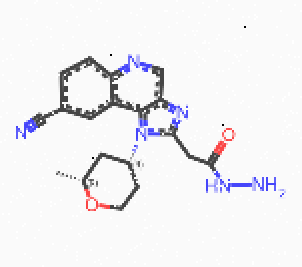 C[C@@H]1C[C@H](n2c(CC(=O)NN)nc3cnc4ccc(C#N)cc4c32)CCO1